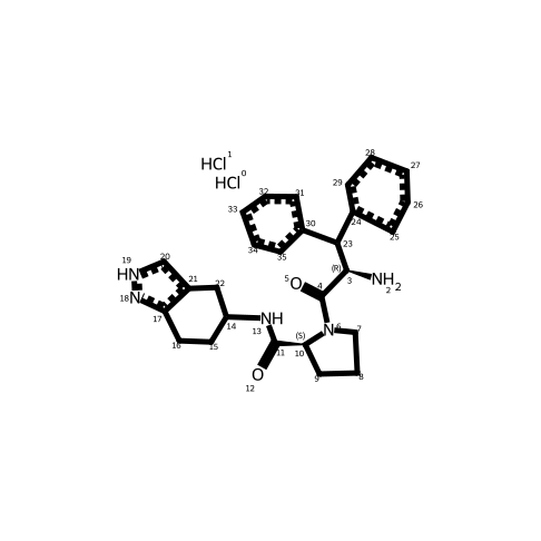 Cl.Cl.N[C@@H](C(=O)N1CCC[C@H]1C(=O)NC1CCc2n[nH]cc2C1)C(c1ccccc1)c1ccccc1